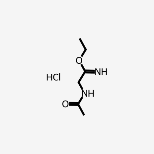 CCOC(=N)CNC(C)=O.Cl